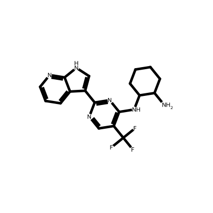 NC1CCCCC1Nc1nc(-c2c[nH]c3ncccc23)ncc1C(F)(F)F